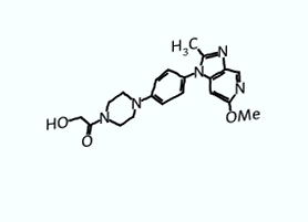 COc1cc2c(cn1)nc(C)n2-c1ccc(N2CCN(C(=O)CO)CC2)cc1